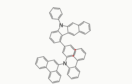 c1ccc(-c2ccccc2N(c2cccc(-c3cccc4c3c3cc5ccccc5cc3n4-c3ccccc3)c2)c2cc3ccccc3c3ccccc23)cc1